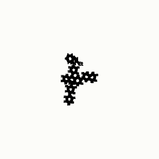 CCc1nc2ccccc2n1-c1ccc(-c2c3ccccc3c(-c3ccc(-c4ccccc4)cc3)c3ccc(-c4ccc5ccccc5c4)cc23)cc1